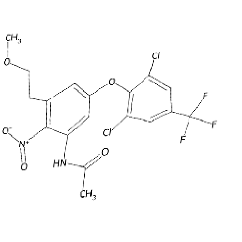 COCCc1cc(Oc2c(Cl)cc(C(F)(F)F)cc2Cl)cc(NC(C)=O)c1[N+](=O)[O-]